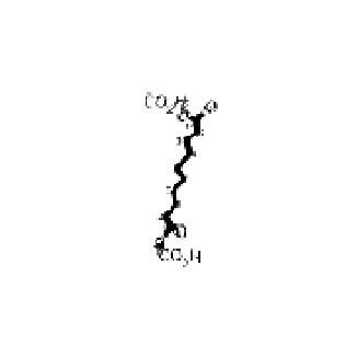 O=C(O)OC(=O)CCCCCCCCC(=O)OC(=O)O